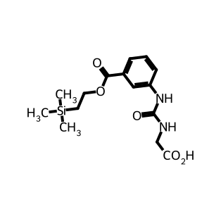 C[Si](C)(C)CCOC(=O)c1cccc(NC(=O)NCC(=O)O)c1